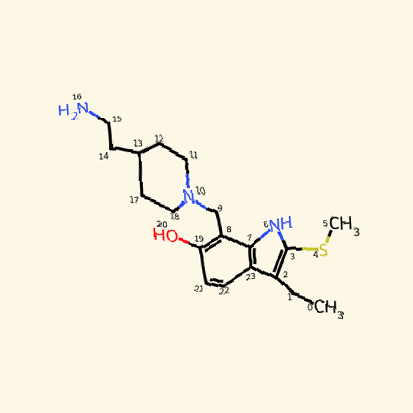 CCc1c(SC)[nH]c2c(CN3CCC(CCN)CC3)c(O)ccc12